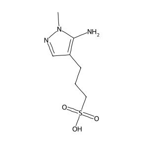 Cn1ncc(CCCS(=O)(=O)O)c1N